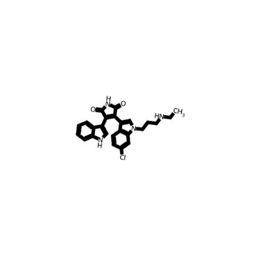 CCNCCCn1cc(C2=C(c3c[nH]c4ccccc34)C(=O)NC2=O)c2ccc(Cl)cc21